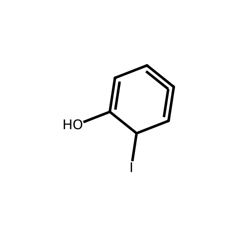 OC1=CC=C=CC1I